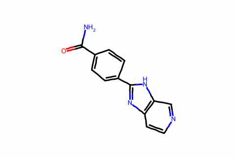 NC(=O)c1ccc(-c2nc3ccncc3[nH]2)cc1